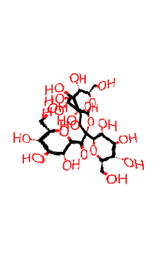 O=C(C1O[C@H](CO)[C@@H](O)[C@H](O)[C@H]1O)[C@@](OC1O[C@H](CO)[C@@H](O)[C@H](O)[C@H]1O)(C1O[C@H](CO)[C@@H](O)[C@H](O)[C@H]1O)[C@@H](O)[C@H](O)[C@H](O)CO